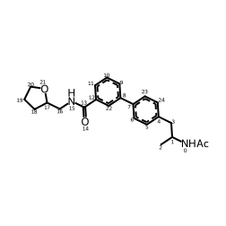 CC(=O)NC(C)Cc1ccc(-c2cccc(C(=O)NCC3CCCO3)c2)cc1